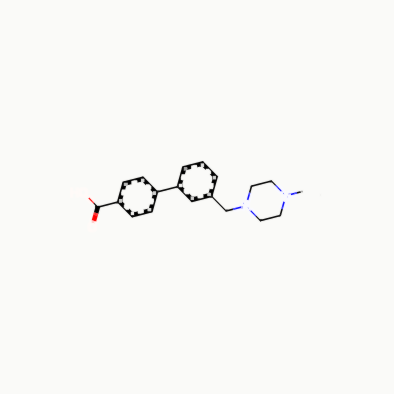 CN1CCN(Cc2cccc(-c3ccc(C(=O)O)cc3)c2)CC1